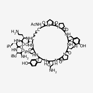 CC[C@H](C)[C@H](NC(=O)[C@H](CC(C)C)NC(=O)[C@@H](CCN)NC(=O)[C@@H]1CSSC[C@H](NC(C)=O)C(=O)N2CCC[C@H]2C(=O)N2CCC[C@H]2C(=O)N[C@@H](Cc2ccc(O)cc2)C(=O)N[C@@H](CC(C)C)C(=O)N2CCC[C@H]2C(=O)N[C@@H](CCN)C(=O)N[C@@H](Cc2ccc(O)cc2)C(=O)N[C@@H](CC(C)C)C(=O)N1)C(N)=O